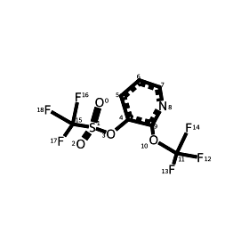 O=S(=O)(Oc1cccnc1OC(F)(F)F)C(F)(F)F